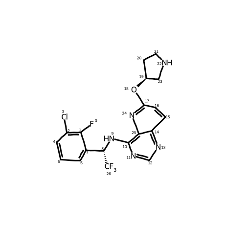 Fc1c(Cl)cccc1[C@H](Nc1ncnc2ccc(O[C@H]3CCNC3)nc12)C(F)(F)F